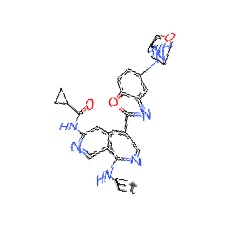 CCNc1ncc(-c2nc3cc(N4CC5CNCC4CO5)ccc3o2)c2cc(NC(=O)C3CC3)ncc12